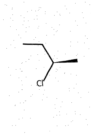 CC[C@@H](C)Cl